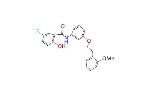 COc1ccccc1CCOc1cccc(NC(=O)c2cc(F)ccc2O)c1